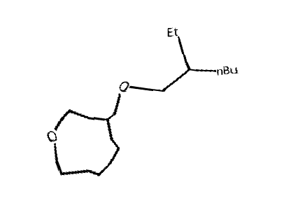 CCCCC(CC)COC1CCCOC1